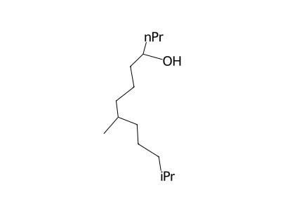 CCCC(O)CCCC(C)CCCC(C)C